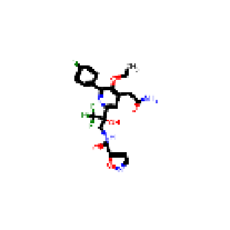 CCOc1c(CC(N)=O)cc([C@@](O)(CNC(=O)c2ccno2)C(F)(F)F)nc1-c1ccc(F)cc1